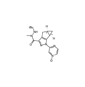 CN(NC(C)(C)C)C(=O)c1nn(-c2c[n+]([O-])ccn2)c2c1C[C@H]1C[C@@H]21